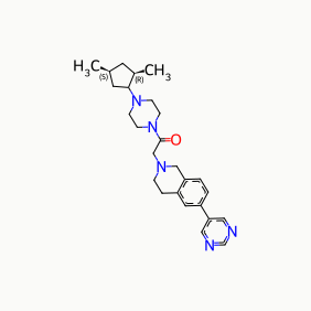 C[C@@H]1CC(N2CCN(C(=O)CN3CCc4cc(-c5cncnc5)ccc4C3)CC2)[C@H](C)C1